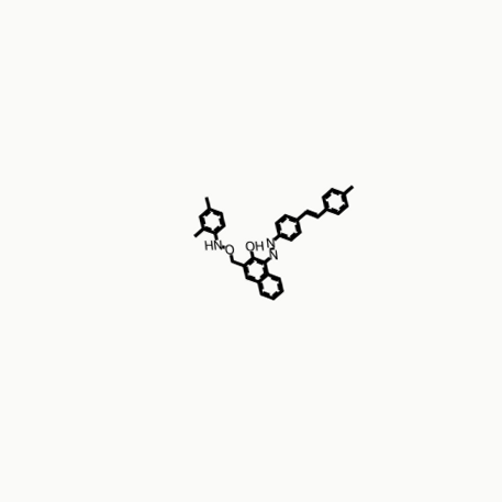 Cc1ccc(C=Cc2ccc(N=Nc3c(O)c(CONc4ccc(C)cc4C)cc4ccccc34)cc2)cc1